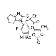 CCC(C)(Sc1nc2ccccc2n1-c1ccc(NC(C)=O)cc1F)C(=O)Oc1oc(=O)oc1C